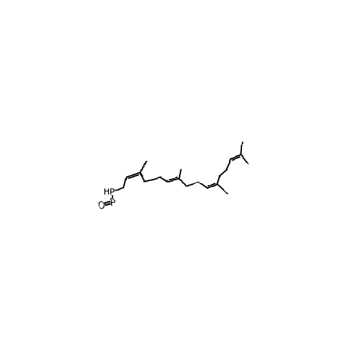 CC(C)=CCC/C(C)=C\CC/C(C)=C/CC/C(C)=C\CPP=O